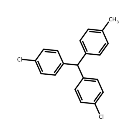 Cc1ccc(C(c2ccc(Cl)cc2)c2ccc(Cl)cc2)cc1